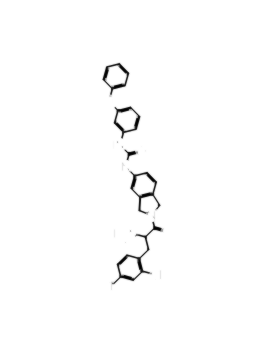 NC(Cc1ccc(Cl)cc1Cl)C(=O)N1Cc2ccc(NC(=O)Nc3cccc(Oc4ccccc4)c3)cc2C1